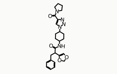 O=C(NC1CCC(n2cc(C(=O)N3CCCC3)nn2)CC1)C(Cc1ccccc1)C1=COCO1